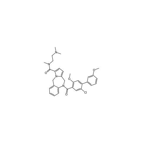 COc1cccc(-c2cc(OC)c(C(=O)N3Cc4ccc(C(=O)N(C)CCN(C)C)n4Cc4ccccc43)cc2Cl)c1